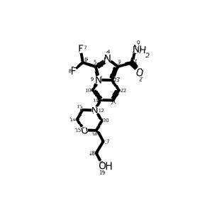 NC(=O)c1nc(C(F)F)n2cc(N3CCOC(CCO)C3)ccc12